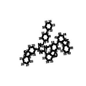 C=N/C(=N\C(=N/Cc1ccc(-c2ccccc2)cc1)c1ccc2sc3ccccc3c2c1)c1cccc2oc3cc(-c4cccc5sc6ccccc6c45)ccc3c12